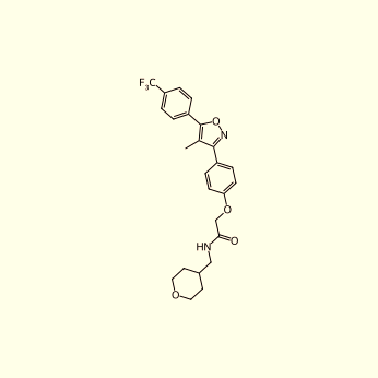 Cc1c(-c2ccc(OCC(=O)NCC3CCOCC3)cc2)noc1-c1ccc(C(F)(F)F)cc1